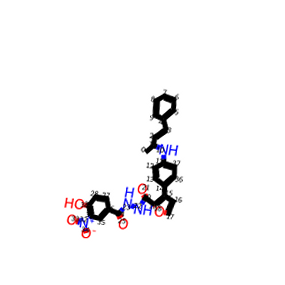 CC(/C=C/c1ccccc1)Nc1ccc(-c2ccoc2C(=O)NNC(=O)c2ccc(O)c([N+](=O)[O-])c2)cc1